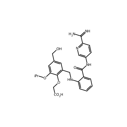 CC(C)Oc1cc(CO)cc(CNc2ccccc2C(=O)Nc2ccc(C(=N)N)nc2)c1OCC(=O)O